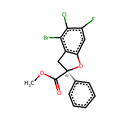 COC(=O)[C@@]1(c2ccccc2)Cc2c(cc(F)c(Cl)c2Br)O1